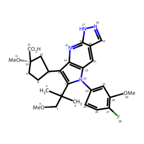 COCC(C)(C)c1c(C2CC[C@@](OC)(C(=O)O)C2)c2nc3[nH]ncc3cc2n1-c1ccc(F)c(OC)c1